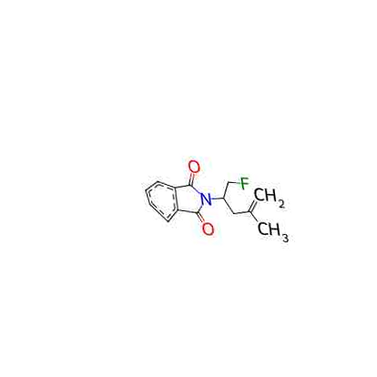 C=C(C)CC(CF)N1C(=O)c2ccccc2C1=O